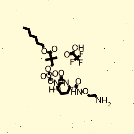 CCCCCCOC(=O)C(C)(C)COS(=O)(=O)ON1C(=O)N2C[C@H]1CC[C@H]2C(=O)NOCCN.O=C(O)C(F)(F)F